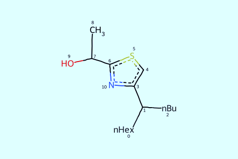 CCCCCCC(CCCC)c1csc(C(C)O)n1